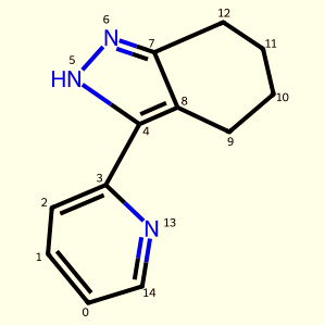 c1ccc(-c2[nH]nc3c2CCCC3)nc1